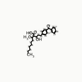 CCCCCCCC(C)C(C(=O)O)C(O)CCc1ccc(C(=O)c2ccccc2)cc1